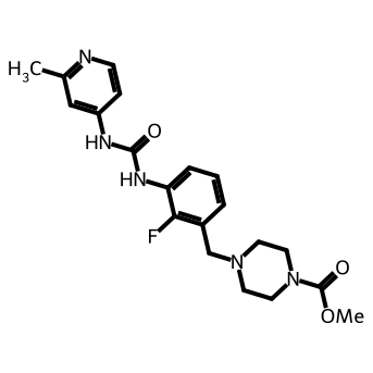 COC(=O)N1CCN(Cc2cccc(NC(=O)Nc3ccnc(C)c3)c2F)CC1